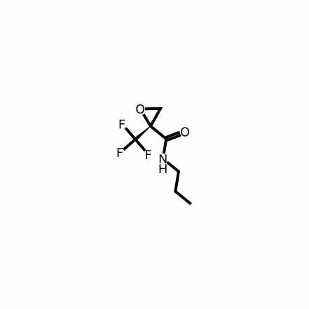 CCCNC(=O)[C@@]1(C(F)(F)F)CO1